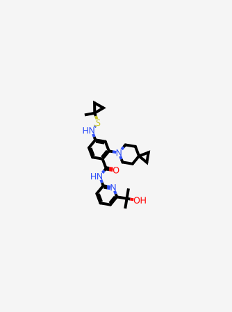 CC1(SNc2ccc(C(=O)Nc3cccc(C(C)(C)O)n3)c(N3CCC4(CC3)CC4)c2)CC1